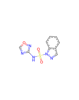 O=S(=O)(Nc1ncon1)n1ncc2ccccc21